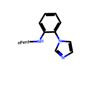 CCCCCNc1ccccc1-n1ccnc1